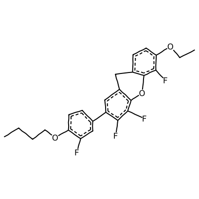 CCCCOc1ccc(-c2cc3c(c(F)c2F)Oc2c(ccc(OCC)c2F)C3)cc1F